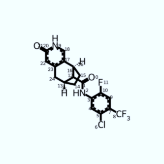 O=C(Nc1cc(Cl)c(C(F)(F)F)cc1F)C1[C@@H]2CC[C@@H]1c1c[nH]c(=O)cc1C2